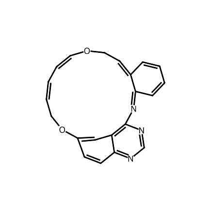 C1=C\COc2ccc3ncnc(c3c2)/N=c2/cccc/c2=C/CO\C=C/1